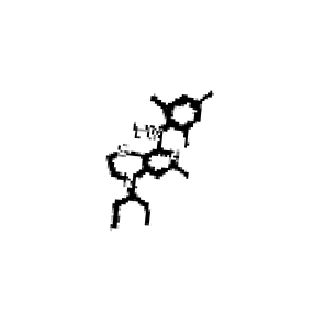 CCC(CC)N1CCSc2c1cc(C)nc2Nc1c(C)cc(C)cc1C